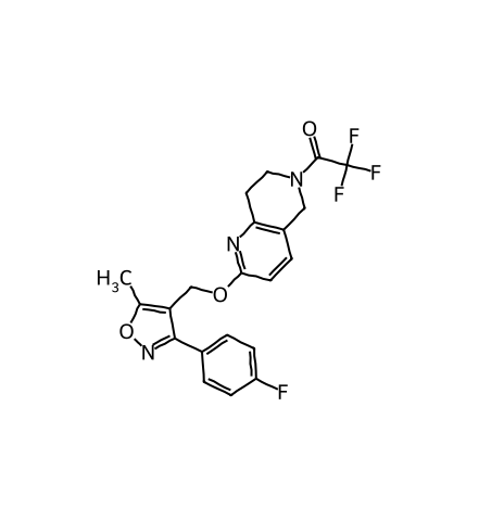 Cc1onc(-c2ccc(F)cc2)c1COc1ccc2c(n1)CCN(C(=O)C(F)(F)F)C2